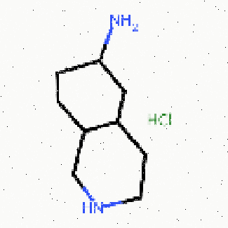 Cl.NC1CCC2CNCCC2C1